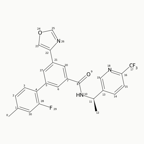 Cc1ccc(-c2cc(C(=O)N[C@H](C)c3ccc(C(F)(F)F)nc3)cc(-c3cocn3)c2)c(F)c1